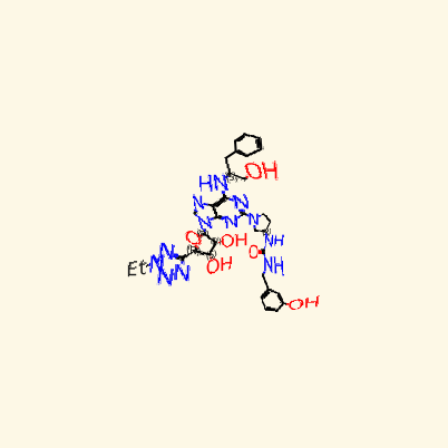 CCn1nnc([C@H]2O[C@@H](n3cnc4c(N[C@H](CO)Cc5ccccc5)nc(N5CC[C@@H](NC(=O)NCc6cccc(O)c6)C5)nc43)[C@H](O)[C@@H]2O)n1